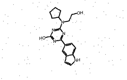 OCCN(c1nc(O)nc(-c2ccc3[nH]ccc3c2)n1)C1CCCC1